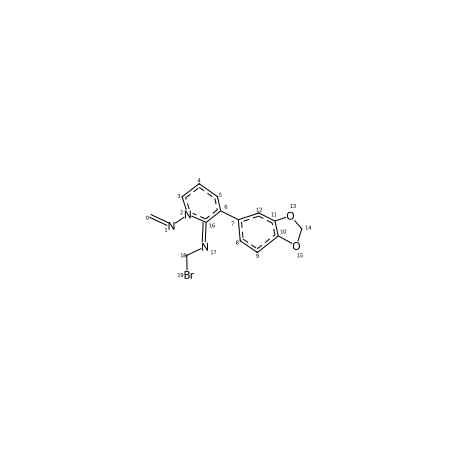 C=Nn1cccc(-c2ccc3c(c2)OCO3)/c1=N/CBr